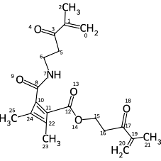 C=C(C)C(=O)CCNC(=O)C1=C(C(=O)OCCC(=O)C(=C)C)C(C)=C1C